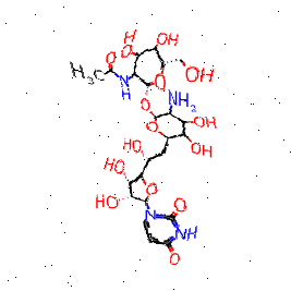 CC(=O)NC1C(O)C(O)[C@H](CO)O[C@@H]1O[C@@H]1O[C@H](C[C@@H](O)C2O[C@@H](n3ccc(=O)[nH]c3=O)[C@H](O)[C@@H]2O)C(O)C(O)C1N